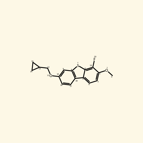 COc1ccc2c(sc3cc(OCC4CC4)ccc32)c1F